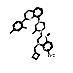 C=Nc1ccc(C=O)nc1N(CCN1CCN(c2cccc3c2OC(c2ccc(C)cc2F)CC3)CC1C)CC1CCC1